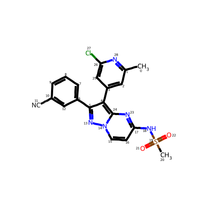 Cc1cc(-c2c(-c3cccc(C#N)c3)nn3ccc(NS(C)(=O)=O)nc23)cc(Cl)n1